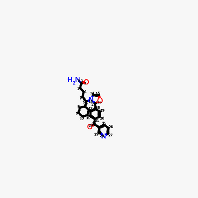 NC(=O)CCCC(C1CCCCC1)N1C=COC1c1ccc(C(=O)c2cccnc2)cc1